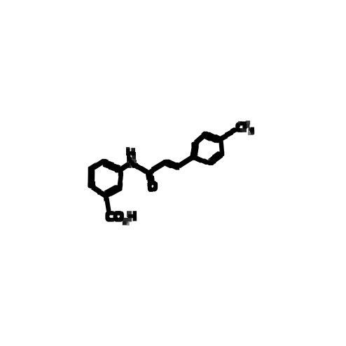 O=C(C=Cc1ccc(C(F)(F)F)cc1)Nc1cccc(C(=O)O)c1